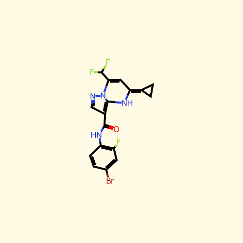 O=C(Nc1ccc(Br)cc1F)c1cnn2c1NC(=C1CC1)C=C2C(F)F